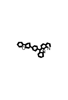 c1cnc2c(c1)ccc1c(-c3ccc(-c4ccc5c(c4)oc4ccccc45)cc3)c3ccccc3nc12